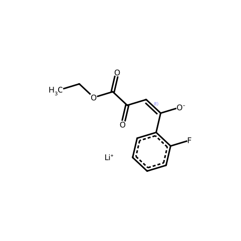 CCOC(=O)C(=O)/C=C(/[O-])c1ccccc1F.[Li+]